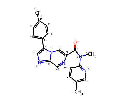 Cc1ccc(N(C)C(=O)c2cn3c(-c4ccc(C(F)(F)F)cc4)cnc3cn2)nc1